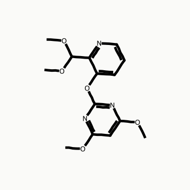 COc1cc(OC)nc(Oc2cccnc2C(OC)OC)n1